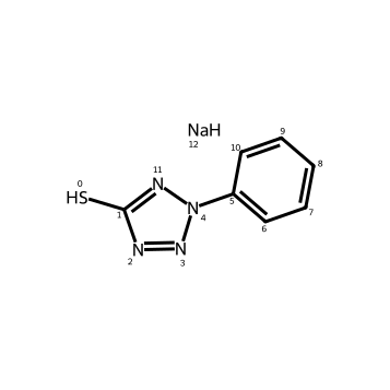 Sc1nnn(-c2ccccc2)n1.[NaH]